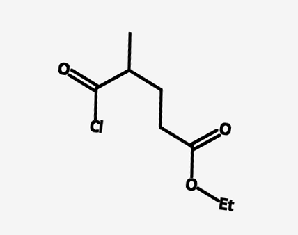 CCOC(=O)CCC(C)C(=O)Cl